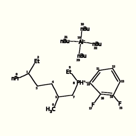 CCCC(CC)CCC(C)C[PH+](CC)c1cccc(F)c1F.CCC[CH2][Al-]([CH2]CCC)([CH2]CCC)[CH2]CCC